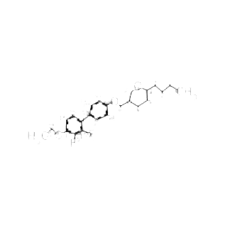 CCCCC1CCC(COc2ccc(-c3ccc(OCC)c(F)c3F)cc2)CO1